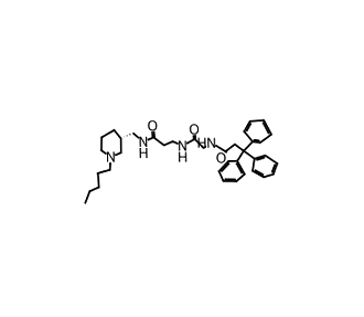 CCCCCN1CCC[C@H](CNC(=O)CCNC(=O)CNC(=O)CC(c2ccccc2)(c2ccccc2)c2ccccc2)C1